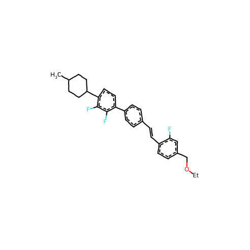 CCOCc1ccc(/C=C/c2ccc(-c3ccc(C4CCC(C)CC4)c(F)c3F)cc2)c(F)c1